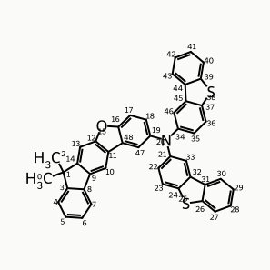 CC1(C)c2ccccc2-c2cc3c(cc21)oc1ccc(N(c2ccc4sc5ccccc5c4c2)c2ccc4sc5ccccc5c4c2)cc13